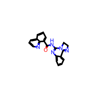 O=C(NC1=Nc2ccccc2C2=NCCN12)c1cccc2cccnc12